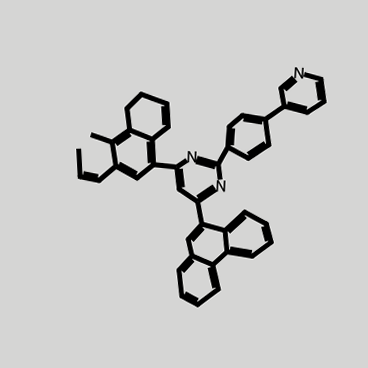 C/C=C\c1cc(-c2cc(-c3cc4ccccc4c4ccccc34)nc(-c3ccc(-c4cccnc4)cc3)n2)c2c(c1C)CCC=C2